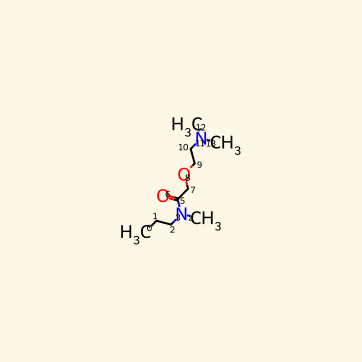 CCCN(C)C(=O)COCCN(C)C